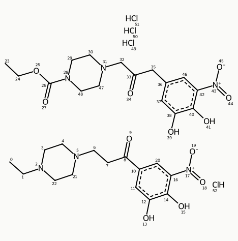 CCN1CCN(CCC(=O)c2cc(O)c(O)c([N+](=O)[O-])c2)CC1.CCOC(=O)N1CCN(CC(=O)Cc2cc(O)c(O)c([N+](=O)[O-])c2)CC1.Cl.Cl.Cl.Cl